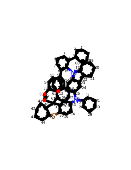 c1ccc(-c2cccc(-c3ccccc3)c2-n2c3ccccc3c3cc(N(c4ccccc4)c4ccc5c(c4)C4(c6ccccc6S5)c5ccccc5-c5cccc6cccc4c56)ccc32)cc1